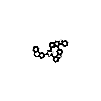 c1ccc(-c2nc(-c3ccc4c(c3)-c3ccccc3CC4)nc(-c3cccc4oc5ccc(-c6cccc7oc8ccccc8c67)cc5c34)n2)cc1